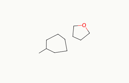 C1CCOC1.CC1CCCCC1